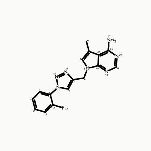 Cc1cn(Cc2cn(-c3ccccc3F)nn2)c2ncnc(N)c12